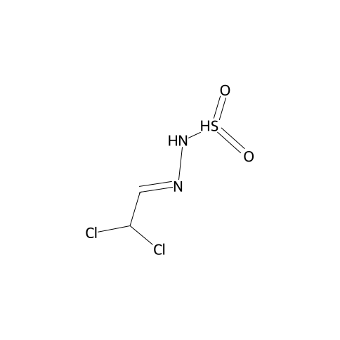 O=[SH](=O)N/N=C/C(Cl)Cl